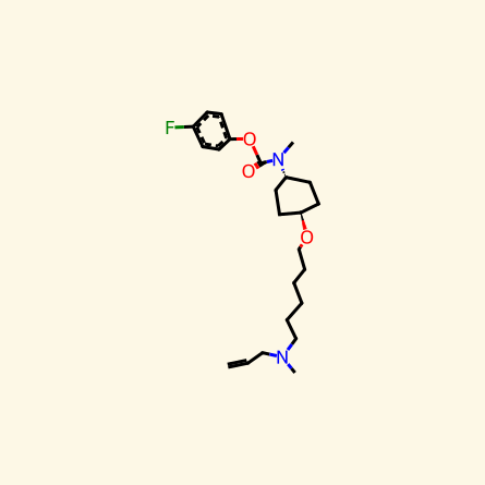 C=CCN(C)CCCCCCO[C@H]1CC[C@H](N(C)C(=O)Oc2ccc(F)cc2)CC1